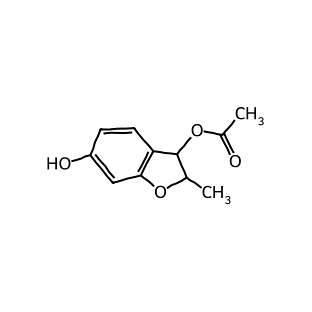 CC(=O)OC1c2ccc(O)cc2OC1C